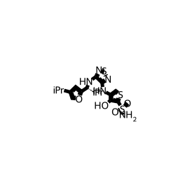 CC(C)c1coc([C@H](Nc2nsnc2Nc2csc(S(N)(=O)=O)c2O)C(C)C)c1